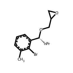 CCC[C@@H](OCC1CO1)c1cccc(C)c1Br